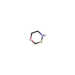 [CH]1CNSCO1